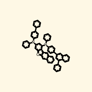 c1ccc(-c2ccc(N(c3ccccc3)c3cc(N(c4ccccc4)c4ccc(-c5cc(-c6ccccc6)c6ccccc6c5)cc4)c4c(c3)oc3cc5ccccc5cc34)cc2)cc1